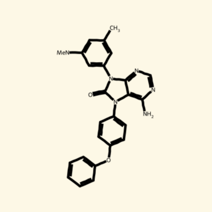 CNc1cc(C)cc(-n2c(=O)n(-c3ccc(Oc4ccccc4)cc3)c3c(N)ncnc32)c1